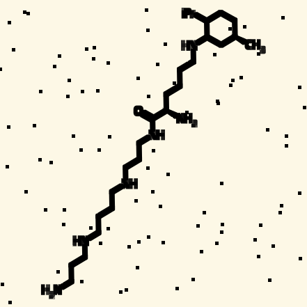 CC(C)C1CC[C@@H](C)CC1NCCCC[C@@H](N)C(=O)NCCCNCCCCNCCCN